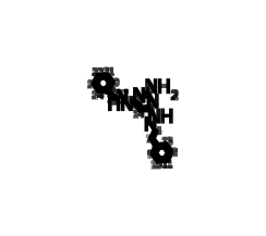 Nc1nc(N/N=C/Cc2ccccc2)cc(N/N=C/c2ccccc2)n1